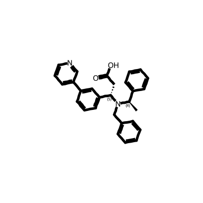 C[C@H](c1ccccc1)N(Cc1ccccc1)[C@@H](CC(=O)O)c1cccc(-c2cccnc2)c1